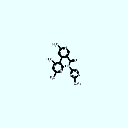 COc1nnc(NC(=O)c2cnc(C)cc2-c2cnc(C(F)(F)F)cc2C)s1